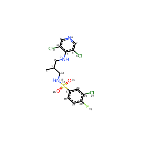 CC(CNc1c(Cl)cncc1Cl)CNS(=O)(=O)c1ccc(F)c(Cl)c1